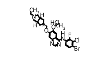 CCN1C[C@H]2C[C@H](COc3cc4ncnc(Nc5ccc(Br)c(Cl)c5F)c4cc3OC)C[C@H]2C1.Cl